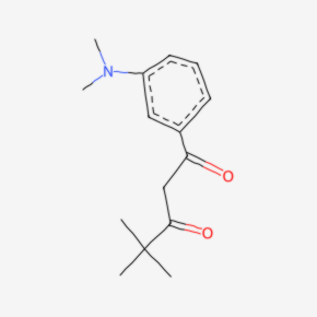 CN(C)c1cccc(C(=O)CC(=O)C(C)(C)C)c1